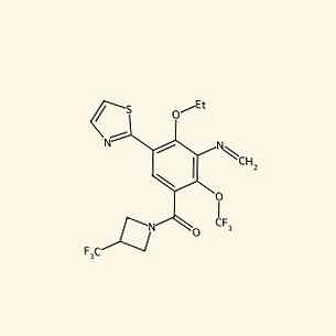 C=Nc1c(OC(F)(F)F)c(C(=O)N2CC(C(F)(F)F)C2)cc(-c2nccs2)c1OCC